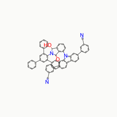 N#Cc1cccc(-c2ccc3c4ccc(-c5cccc(C#N)c5)cc4n(-c4cccc5c4C(=O)N(c4c(-c6ccccc6)cc(-c6ccccc6)cc4-c4ccccc4)C5O)c3c2)c1